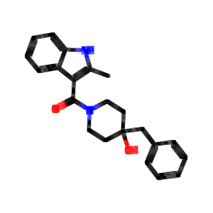 Cc1[nH]c2ccccc2c1C(=O)N1CCC(O)(Cc2ccccc2)CC1